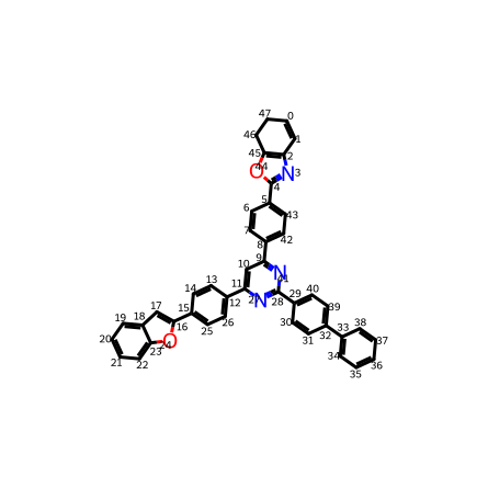 C1=Cc2nc(-c3ccc(-c4cc(-c5ccc(-c6cc7ccccc7o6)cc5)nc(-c5ccc(-c6ccccc6)cc5)n4)cc3)oc2CC1